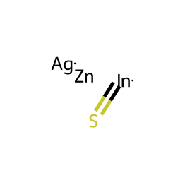 [Ag].[S]=[In].[Zn]